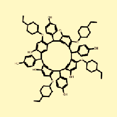 CCC1CCC(Oc2cc(O)c3cc2C(c2ccc(O)cc2)c2cc(c(OC4CCC(CC)CC4)cc2O)C(c2ccc(O)cc2)c2cc(c(O)cc2OC2CCC(CC)CC2)C(c2ccc(O)cc2)c2cc(c(O)cc2OC2CCC(CC)CC2)C3c2ccc(O)cc2)CC1